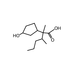 CCCC(C)C(C)(C(=O)O)C1CCC(O)C1